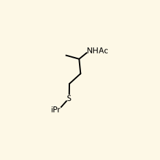 CC(=O)NC(C)CCSC(C)C